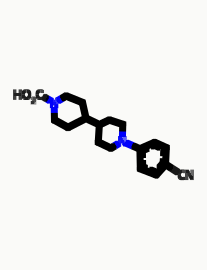 N#Cc1ccc(N2CCC(C3CCN(C(=O)O)CC3)CC2)cc1